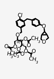 CC(=O)OC[C@@H](OCc1ccc(Cl)c(Cc2ccc(OC3C4COCC43)cc2)c1)[C@@H](OC(C)=O)[C@@H](COC(C)=O)OC(C)=O